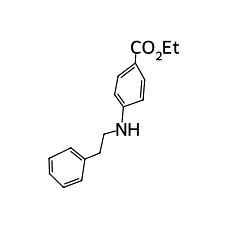 CCOC(=O)c1ccc(NCCc2ccccc2)cc1